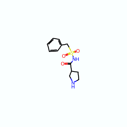 O=C(NS(=O)(=O)Cc1ccccc1)C1CCNC1